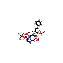 CCOC(=O)C(CCc1ccccc1)NC1CC(=O)CN2CCC(C(=O)OC(C)(C)C)N2C1=O